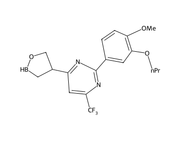 CCCOc1cc(-c2nc(C3CBOC3)cc(C(F)(F)F)n2)ccc1OC